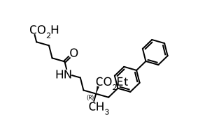 CCOC(=O)[C@@](C)(CCNC(=O)CCCC(=O)O)Cc1ccc(-c2ccccc2)cc1